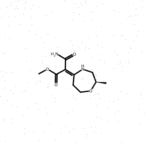 COC(=O)/C(C(N)=O)=C1\CCO[C@H](C)CN1